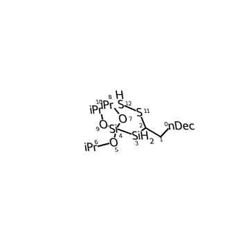 CCCCCCCCCCCC([SiH2][Si](OC(C)C)(OC(C)C)OC(C)C)SS